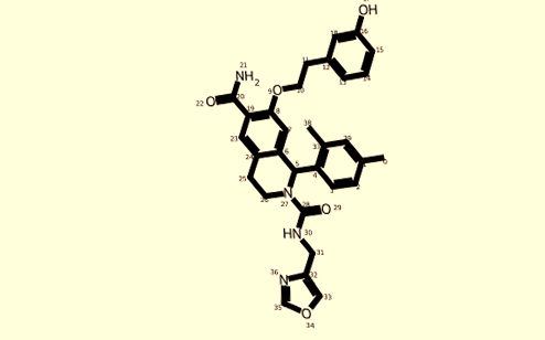 Cc1ccc(C2c3cc(OCCc4cccc(O)c4)c(C(N)=O)cc3CCN2C(=O)NCc2cocn2)c(C)c1